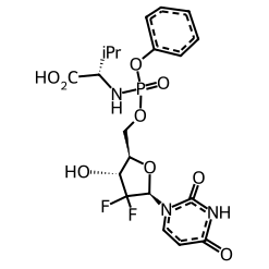 CC(C)[C@H](NP(=O)(OC[C@H]1O[C@@H](n2ccc(=O)[nH]c2=O)C(F)(F)[C@@H]1O)Oc1ccccc1)C(=O)O